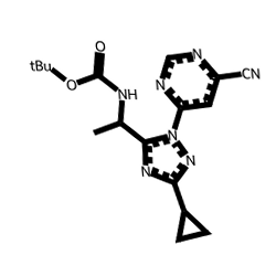 CC(NC(=O)OC(C)(C)C)c1nc(C2CC2)nn1-c1cc(C#N)ncn1